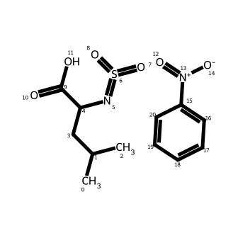 CC(C)CC(N=S(=O)=O)C(=O)O.O=[N+]([O-])c1ccccc1